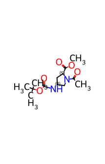 COC(=O)[C@@H]1C[C@@H](NC(=O)OC(C)(C)C)CN1C(C)=O